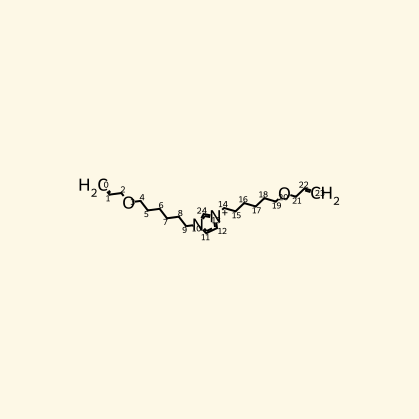 C=CCOCCCCCCn1cc[n+](CCCCCCOCC=C)c1